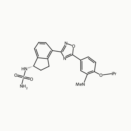 CNc1cc(-c2nc(-c3cccc4c3CC[C@@H]4NS(N)(=O)=O)no2)ccc1OC(C)C